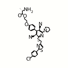 C[C@H](N)C(=O)OCCOc1ccc(-c2c(C#N)c(SCc3csc(-c4ccc(Cl)cc4)n3)nc(N3CCCC3)c2C#N)cc1